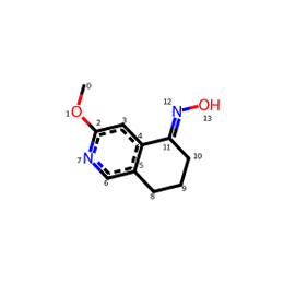 COc1cc2c(cn1)CCCC2=NO